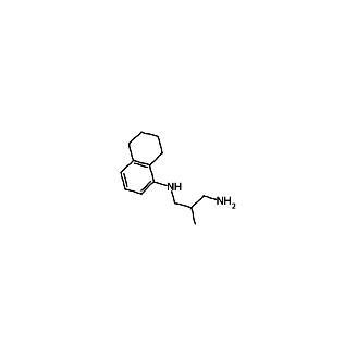 CC(CN)CNc1cccc2c1CCCC2